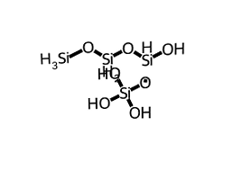 O[SiH](O[SiH2]O[SiH3])O[Si](O)(O)O